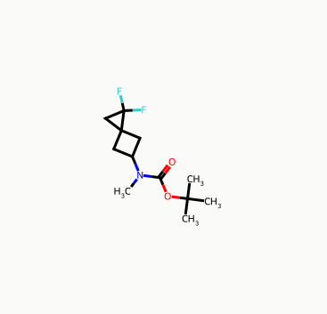 CN(C(=O)OC(C)(C)C)C1CC2(C1)CC2(F)F